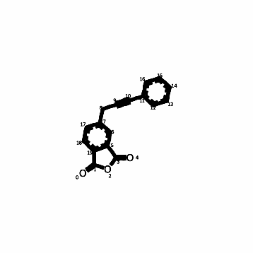 O=C1OC(=O)c2cc(CC#Cc3ccccc3)ccc21